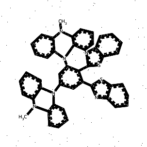 CN1c2ccccc2N(c2cc(-c3nc4ccccc4s3)c(-c3nc4ccccc4s3)c(N3c4ccccc4N(C)c4ccccc43)c2)c2ccccc21